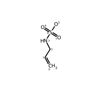 C=CCNS([O])(=O)=O